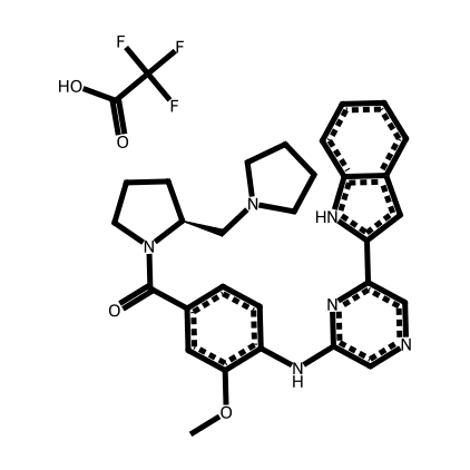 COc1cc(C(=O)N2CCC[C@H]2CN2CCCC2)ccc1Nc1cncc(-c2cc3ccccc3[nH]2)n1.O=C(O)C(F)(F)F